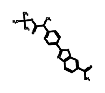 CN(C(=O)OC(C)(C)C)c1ccc(-c2nc3ccc(C(N)=O)cc3s2)cn1